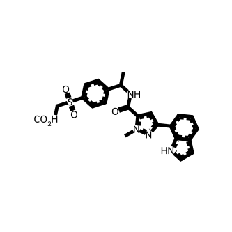 CC(NC(=O)c1cc(-c2cccc3cc[nH]c23)nn1C)c1ccc(S(=O)(=O)CC(=O)O)cc1